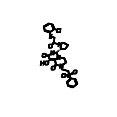 O=C1c2c(O)c(=O)nc([C@H]3CCCN3C(=O)CSc3ccccc3Cl)n2CCN1CCS(=O)(=O)c1ccccc1